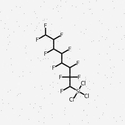 FC(F)C(F)C(F)C(F)C(F)C(F)C(F)(F)C(F)[Si](Cl)(Cl)Cl